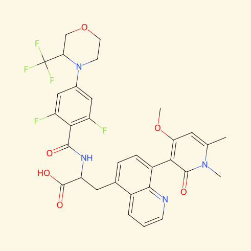 COc1cc(C)n(C)c(=O)c1-c1ccc(CC(NC(=O)c2c(F)cc(N3CCOCC3C(F)(F)F)cc2F)C(=O)O)c2cccnc12